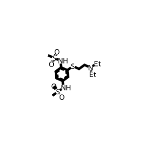 CCN(CC)CCSc1cc(NS(C)(=O)=O)ccc1NS(C)(=O)=O